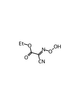 CCOC(=O)C(C#N)=NOO